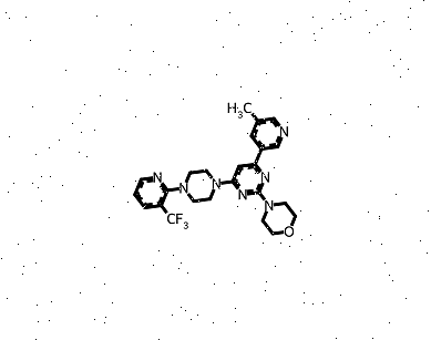 Cc1cncc(-c2cc(N3CCN(c4ncccc4C(F)(F)F)CC3)nc(N3CCOCC3)n2)c1